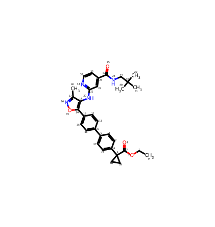 CCOC(=O)C1(c2ccc(-c3ccc(-c4onc(C)c4Nc4cc(C(=O)NCC(C)(C)C)ccn4)cc3)cc2)CC1